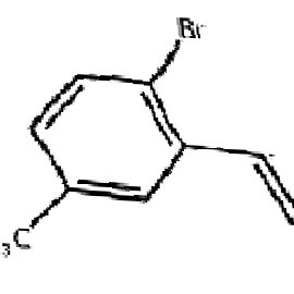 C=[C]c1cc(C(F)(F)F)ccc1Br